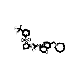 O=C(C[C@@H]1CCCN1S(=O)(=O)c1cccc(C(F)(F)F)c1)N[C@@H]1CCOc2cc(CN3CCCCCCC3)ccc21